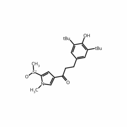 Cn1cc(C(=O)CCc2cc(C(C)(C)C)c(O)c(C(C)(C)C)c2)cc1[S+](C)[O-]